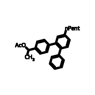 CCCCCc1ccc(-c2ccccc2)c(-c2ccc(C(C)OC(C)=O)cc2)c1